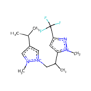 CC(C)c1cn(C)[n+](CC(C)c2cc(C(F)(F)F)nn2C)c1